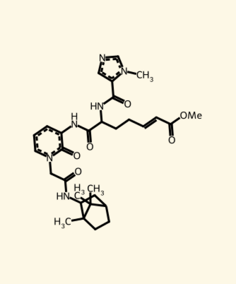 COC(=O)/C=C/CCC(NC(=O)c1cncn1C)C(=O)Nc1cccn(CC(=O)NC2CC3CCC2(C)C3(C)C)c1=O